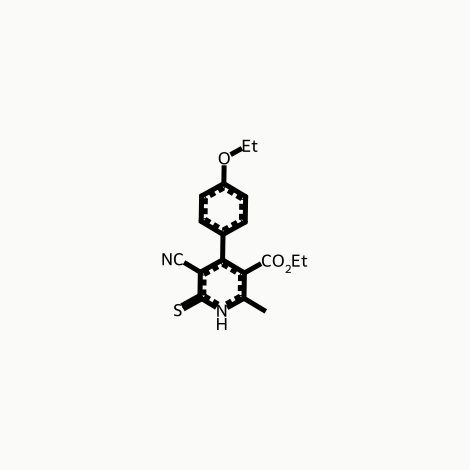 CCOC(=O)c1c(C)[nH]c(=S)c(C#N)c1-c1ccc(OCC)cc1